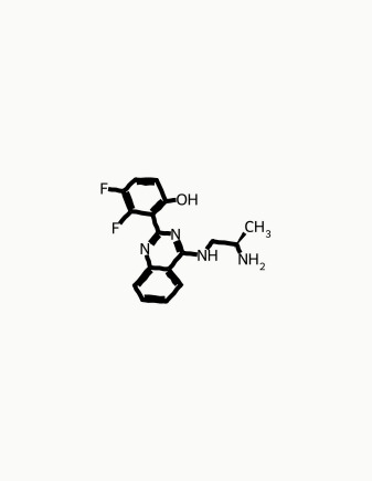 C[C@@H](N)CNc1nc(-c2c(O)ccc(F)c2F)nc2ccccc12